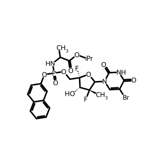 CC(C)OC(=O)C(C)NP(=O)(OC[C@@]1(F)OC(n2cc(Br)c(=O)[nH]c2=O)[C@](C)(F)[C@@H]1O)Oc1ccc2ccccc2c1